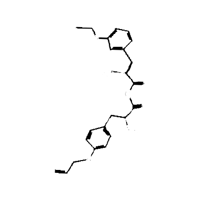 C=CCNc1ccc(C[C@H](N)C(=O)OC(=O)[C@@H](N)Cc2cccc(NCC)c2)cc1